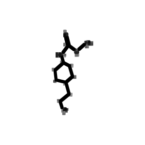 CC(C)CCC1CCC(NC(=O)OC(C)(C)C)CC1